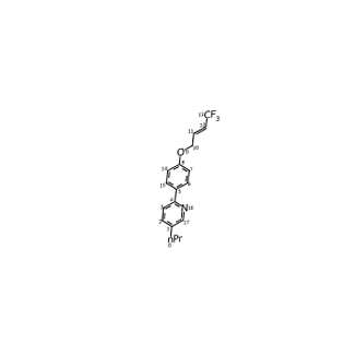 CCCc1ccc(-c2ccc(OCC=CC(F)(F)F)cc2)nc1